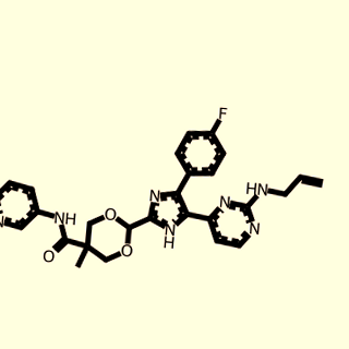 C=CCNc1nccc(-c2[nH]c(C3OCC(C)(C(=O)Nc4cccnc4)CO3)nc2-c2ccc(F)cc2)n1